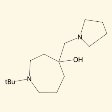 CC(C)(C)N1CCCC(O)(CN2CCCC2)CC1